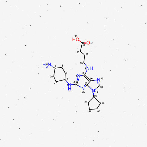 NC1CCC(Nc2nc(NCCCC(=O)O)c3ncn(C4CCCC4)c3n2)CC1